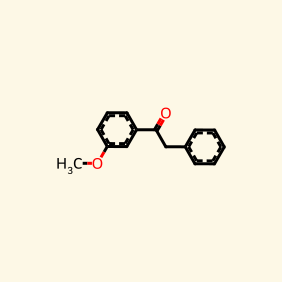 COc1cccc(C(=O)Cc2ccccc2)c1